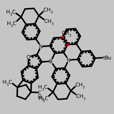 Cc1cc2c3c(c1)N(c1ccc4c(c1)C(C)(C)CCC4(C)C)c1oc4cc5c(cc4c1B3c1cc3c(cc1N2c1ccc(C(C)(C)C)cc1-c1ccccc1)C(C)(C)CCC3(C)C)C1(C)CCC5(C)C1